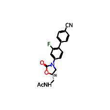 CC(=O)NC[C@H]1CN(c2ccc(-c3ccc(C#N)cc3)c(F)c2)C(=O)O1